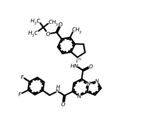 Cc1c(C(=O)OC(C)(C)C)ccc2c1CC[C@@H]2NC(=O)c1cc(C(=O)NCc2ccc(F)c(F)c2)nc2ccnn12